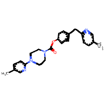 Cc1ccc(N2CCN(C(=O)Oc3ccc(Cc4ccc(C(F)(F)F)cn4)cc3)CC2)nc1